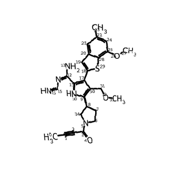 CC#CC(=O)N1CCC(c2[nH]c(/C(N)=N\C=N)c(-c3cc4cc(C)cc(OC)c4s3)c2COC)C1